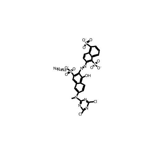 CN(c1ccc2c(O)c(N=Nc3ccc4c(S(=O)(=O)[O-])cccc4c3S(=O)(=O)[O-])c(S(=O)(=O)[O-])cc2c1)c1nc(Cl)nc(Cl)n1.[Na+].[Na+].[Na+]